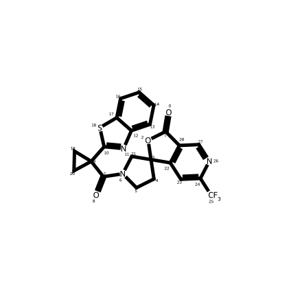 O=C1OC2(CCN(C(=O)C3(c4nc5ccccc5s4)CC3)C2)c2cc(C(F)(F)F)ncc21